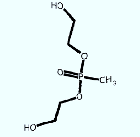 CP(=O)(OCCO)OCCO